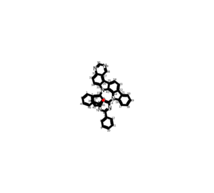 c1ccc(-c2nc(-c3ccccc3)nc(-n3c4ccccc4c4ccc5c6c7cncnc7ccc6n(-c6ccccc6)c5c43)n2)cc1